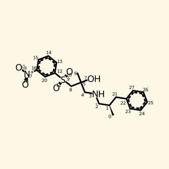 C[C@@H]([CH]NCC(C)(O)CS(=O)(=O)c1cccc([N+](=O)[O-])c1)Cc1ccccc1